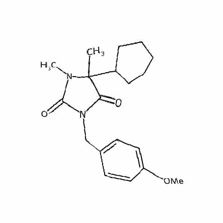 COc1ccc(CN2C(=O)N(C)C(C)(C3CCCCC3)C2=O)cc1